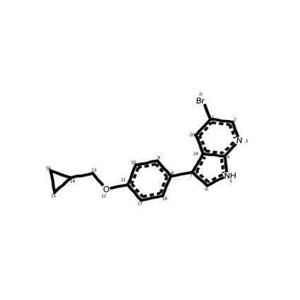 Brc1cnc2[nH]cc(-c3ccc(OCC4CC4)cc3)c2c1